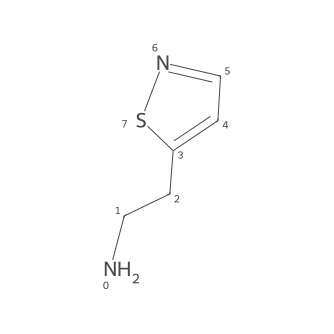 NCCc1ccns1